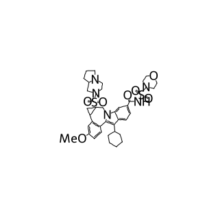 COc1ccc2c(c1)C1CC1(S(=O)(=O)N1CCN3CCCC3C1)Cn1c-2c(C2CCCCC2)c2ccc(C(=O)NS(=O)(=O)N3CCOCC3)cc21